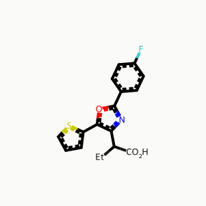 CCC(C(=O)O)c1nc(-c2ccc(F)cc2)oc1-c1cccs1